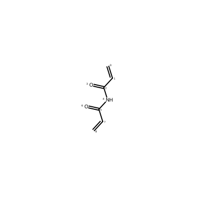 C=CC(=O)NC(=O)C=C